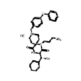 CCCCN1C(=O)[C@@H]([C@H](O)C2CCCCC2)NC(=O)C12CCN(Cc1ccc(Oc3ccccc3)cc1)CC2.Cl